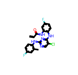 C=CC(=O)Nc1cc(F)ccc1Nc1nc(Nc2ccc(F)cc2C)ncc1Cl